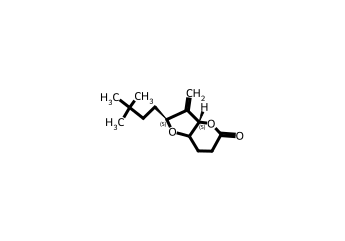 C=C1[C@H](CCC(C)(C)C)OC2CCC(=O)O[C@@H]12